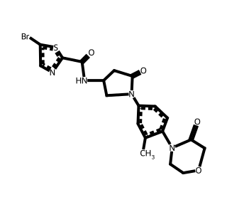 Cc1cc(N2CC(NC(=O)c3ncc(Br)s3)CC2=O)ccc1N1CCOCC1=O